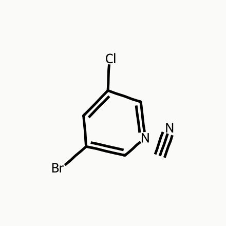 C#N.Clc1cncc(Br)c1